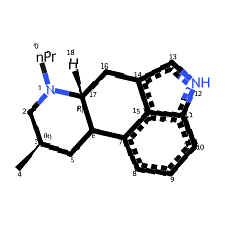 CCCN1C[C@H](C)CC2c3cccc4[nH]cc(c34)C[C@H]21